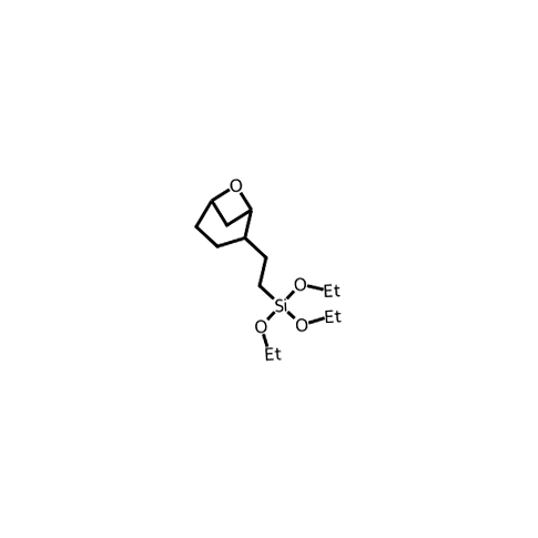 CCO[Si](CCC1CCC2CC1O2)(OCC)OCC